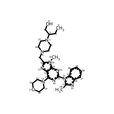 CCC(CO)N1CCN(Cc2nc3c(N4CCOCC4)nc(-n4c(C)nc5ccccc54)nc3n2C)CC1